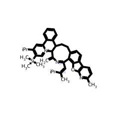 C=C1/N=C(/C=C(/C)C(C)C)c2c(ccc3c2oc2nc(C)ccc23)CCC2c3ccccc3-c3cc(C(C)C)c([Si](C)(C)C)c[n+]3C12